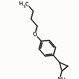 CCCCOc1ccc(C2CC2N)cc1